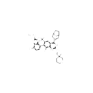 CC1(COc2nc(N3CC4CCC(C3)N4)c3cc(C(F)(F)F)c(-c4ccc(F)c5sc(N)nc45)c(F)c3n2)CCCOC1